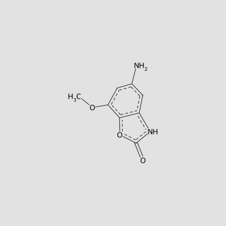 COc1cc(N)cc2[nH]c(=O)oc12